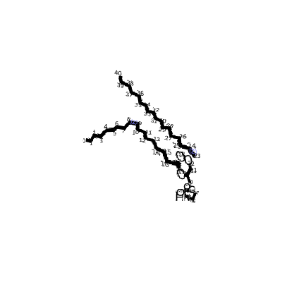 CCCCCCCC/C=C\CCCCCCCC(=O)OC(CO/C=C\CCCCCCCCCCCCCCCC)COP1(=O)NCCO1